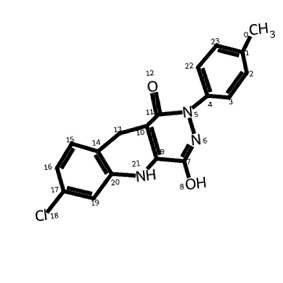 Cc1ccc(-n2nc(O)c3c(c2=O)Cc2ccc(Cl)cc2N3)cc1